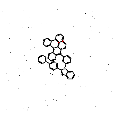 c1ccc(-c2ccc(-c3nc4ccccc4n3-c3cccc(-c4c5ccccc5c(-c5ccccc5-c5ccccc5)c5ccccc45)c3)cc2)cc1